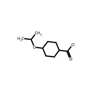 CC(C)OC1CCC(C(=O)Cl)CC1